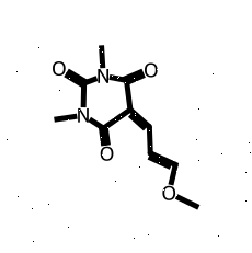 CO/C=C/C=C1C(=O)N(C)C(=O)N(C)C1=O